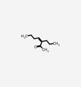 CCCC=C(CCC)C(C)=O